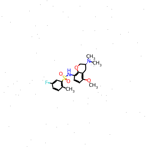 COc1ccc(NS(=O)(=O)c2cc(F)ccc2C)c2c1C[C@@H](N(C)C)CO2